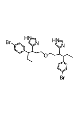 CCC(c1ccc(Br)cc1)C(CCOCCC(c1c[nH]cn1)C(CC)c1ccc(Br)cc1)c1c[nH]cn1